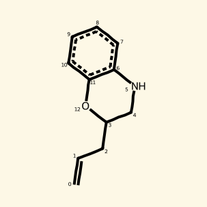 C=CCC1CNc2ccccc2O1